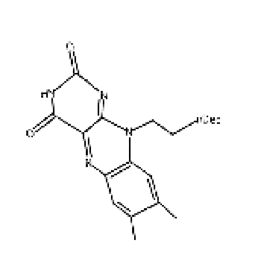 CCCCCCCCCCCCn1c2nc(=O)[nH]c(=O)c-2nc2cc(C)c(C)cc21